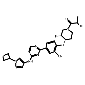 CC(O)C(=O)N1CC[C@H](Oc2ccc(-c3ncnc(Nc4cnn(C5COC5)c4)n3)cc2C#N)[C@H](F)C1